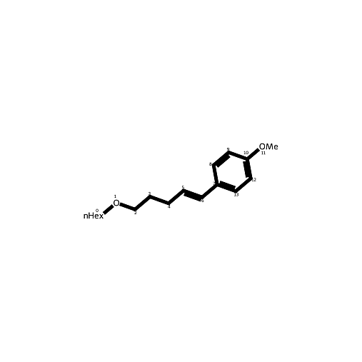 CCCCCCOCCCC=Cc1ccc(OC)cc1